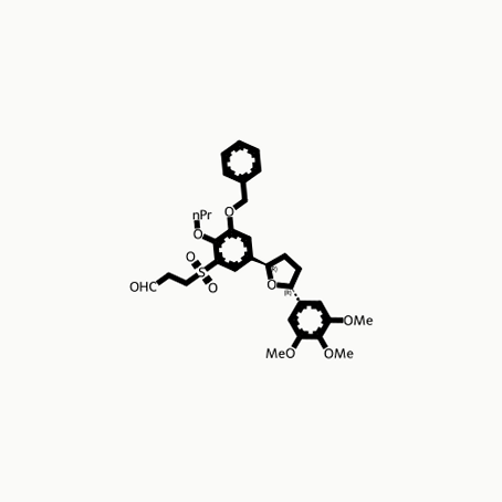 CCCOc1c(OCc2ccccc2)cc([C@H]2CC[C@H](c3cc(OC)c(OC)c(OC)c3)O2)cc1S(=O)(=O)CCC=O